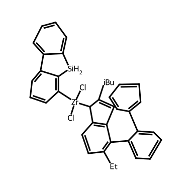 CCc1ccc2c(c1-c1ccccc1-c1ccccc1)C=C(C(C)CC)[CH]2[Zr]([Cl])([Cl])[c]1cccc2c1[SiH2]c1ccccc1-2